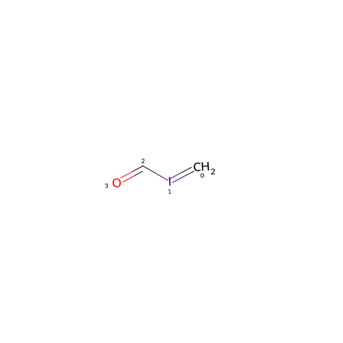 C=IC=O